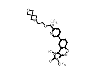 CC(C)n1c(=O)n(C)c2nnc3ccc(-c4ccc([C@@H](C)OCCN5CC6(COC6)C5)nc4)cc3c21